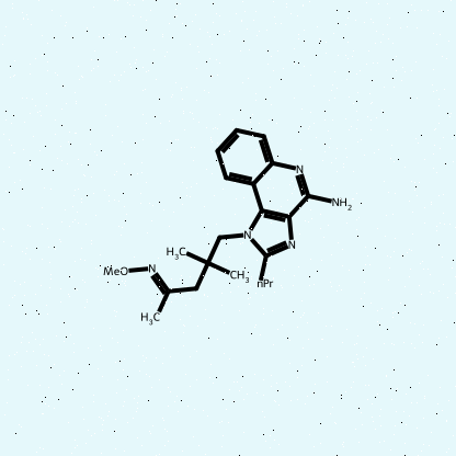 CCCc1nc2c(N)nc3ccccc3c2n1CC(C)(C)CC(C)=NOC